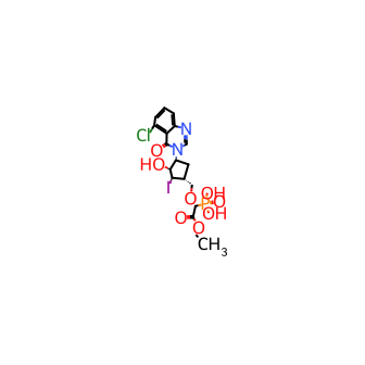 CCOC(=O)[C@H](OC[C@H]1C[C@@H](n2cnc3cccc(Cl)c3c2=O)[C@H](O)[C@@H]1I)P(=O)(O)O